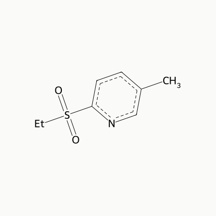 CCS(=O)(=O)c1ccc(C)cn1